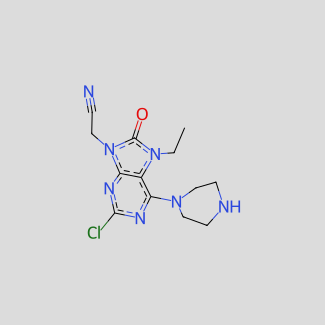 CCn1c(=O)n(CC#N)c2nc(Cl)nc(N3CCNCC3)c21